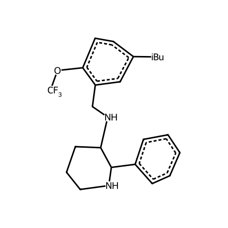 CCC(C)c1ccc(OC(F)(F)F)c(CNC2CCCNC2c2ccccc2)c1